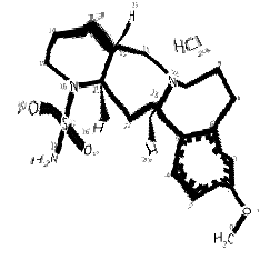 COc1ccc2c(c1)CCN1C[C@H]3CCCN(S(N)(=O)=O)[C@H]3C[C@@H]21.Cl